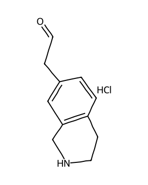 Cl.O=CCc1ccc2c(c1)CNCC2